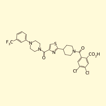 O=C(O)c1cc(Cl)c(Cl)cc1C(=O)N1CCC(c2nc(C(=O)N3CCN(c4cccc(C(F)(F)F)c4)CC3)cs2)CC1